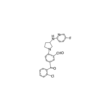 O=Cc1cc(C(=O)c2ccccc2Cl)ccc1N1CCC(Nc2ccc(F)cn2)C1